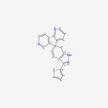 C1=CC(c2cccnc2)(c2cccnc2)Cc2[nH]nc(-c3cccs3)c21